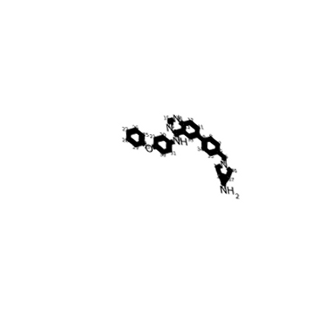 NC1C2CN(Cc3ccc(-c4ccc5ncnc(Nc6ccc(Oc7ccccc7)cc6)c5c4)cc3)CC12